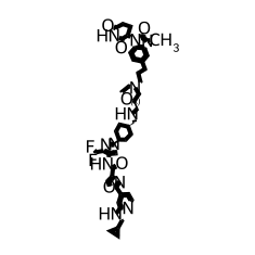 Cn1c(=O)n(C2CCC(=O)NC2=O)c2ccc(CCCN3CCO[C@H](CNC[C@H]4CC[C@H](n5cc(NC(=O)c6coc(-c7ccnc(NCC8CC8)c7)n6)c(C(F)F)n5)CC4)C3)cc21